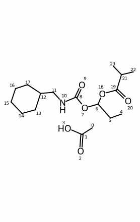 CC(=O)O.CCC(OC(=O)NCC1CCCCC1)OC(=O)C(C)C